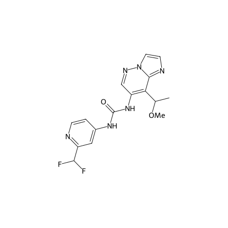 COC(C)c1c(NC(=O)Nc2ccnc(C(F)F)c2)cnn2ccnc12